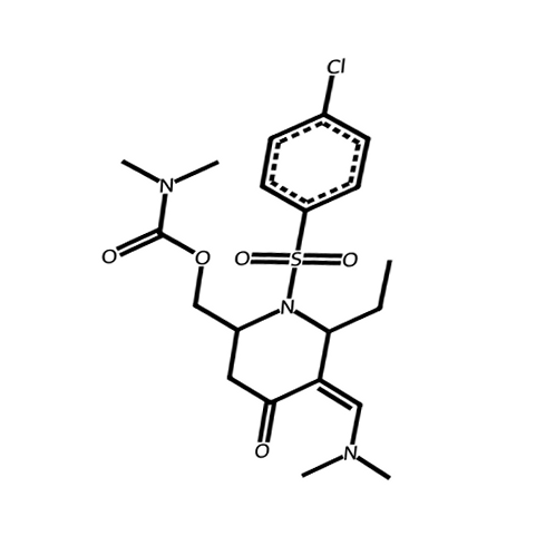 CCC1/C(=C/N(C)C)C(=O)CC(COC(=O)N(C)C)N1S(=O)(=O)c1ccc(Cl)cc1